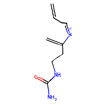 C=C/C=N\C(=C)CCNC(N)=O